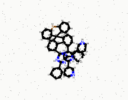 c1ccc(-c2nc(-c3ccccc3)nc(-c3cccc4c3-c3c(-c5ccc(-c6cccnc6)nc5-c5cccnc5)cccc3C43c4ccccc4Sc4ccccc43)n2)cc1